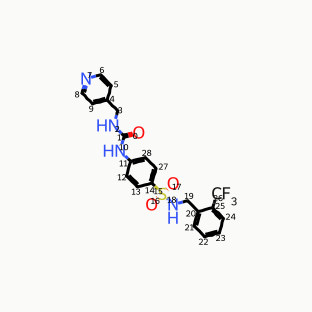 O=C(NCc1ccncc1)Nc1ccc(S(=O)(=O)NCc2ccccc2C(F)(F)F)cc1